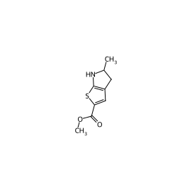 COC(=O)c1cc2c(s1)NC(C)C2